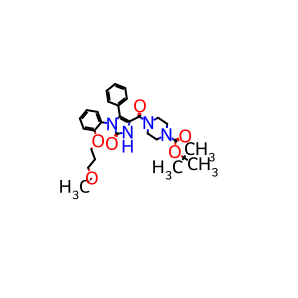 COCCCOc1ccccc1-n1c(-c2ccccc2)c(C(=O)N2CCN(C(=O)OC(C)(C)C)CC2)[nH]c1=O